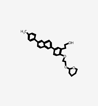 Cc1ccc(-c2ccc3cc(-c4ccc(OCCOC5CCCCO5)c(CCO)c4)ccc3c2)cc1